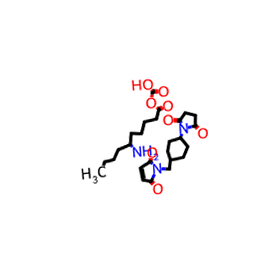 CCCCC(N)CCCCC(=O)OC(=O)O.O=C1C=CC(=O)N1CC1CCC(N2C(=O)CCC2=O)CC1